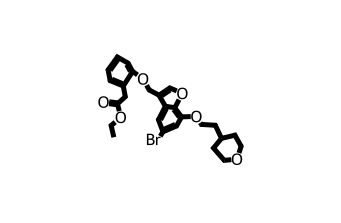 CCOC(=O)Cc1ccccc1OCc1coc2c(OCCC3CCOCC3)cc(Br)cc12